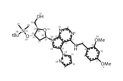 COc1ccc(CNc2ncnc3c2c(-n2cccn2)cn3[C@H]2C[C@H](O[Si](C)(C)C(C)(C)C)[C@@H](CO)O2)c(OC)c1